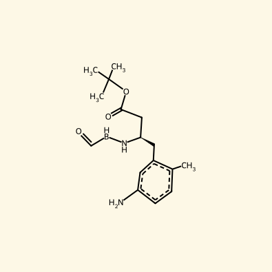 Cc1ccc(N)cc1C[C@H](CC(=O)OC(C)(C)C)NBC=O